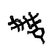 O=S(=O)(Cl)C(F)(F)C(F)(F)C(F)(F)C(F)(F)S(=O)(=O)c1ccc(F)cc1F